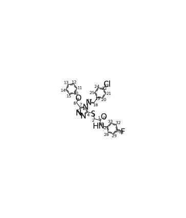 O=C(CSc1nnc(COc2ccccc2)n1N=Cc1ccc(Cl)cc1)Nc1ccc(F)cc1